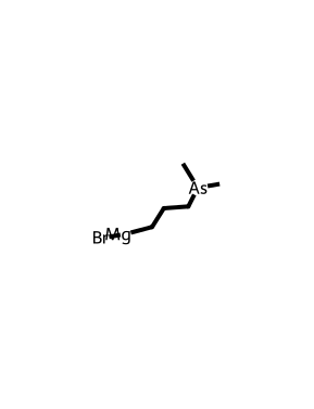 C[As](C)CC[CH2][Mg][Br]